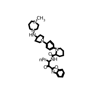 CCCC(NC(=O)C1CCCCN1c1ccc(N2CCC(NN3CCCN(C)CC3)CC2)cc1)C(=O)c1nc2ccccc2o1